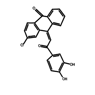 O=C(C=C1c2ccccc2C(=O)c2ccc(Cl)cc21)c1ccc(O)c(O)c1